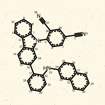 N#Cc1ccc(-n2c3ccccc3c3ccc(-c4ccccc4Nc4ccc5ccccc5c4)cc32)c(C#N)c1